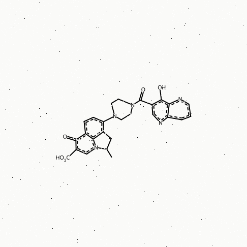 CC1Cc2c(N3CCN(C(=O)c4cnc5cccnc5c4O)CC3)ccc3c(=O)c(C(=O)O)cn1c23